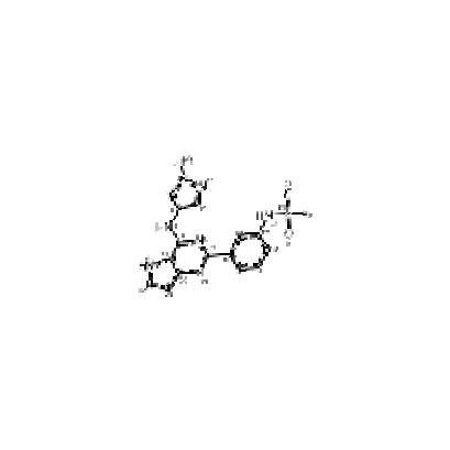 CC(C)n1cc(Nc2nc(-c3cccc(NS(C)(=O)=O)c3)nc3cn[nH]c23)cn1